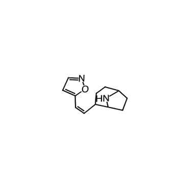 C(=C/C1CCC2CCC1N2)/c1ccno1